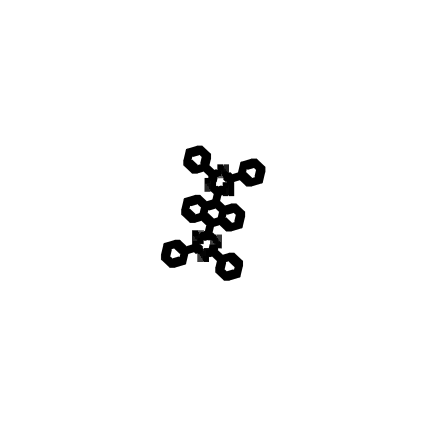 c1ccc(-c2nc(-c3ccccc3)nc(-c3c4ccccc4c(-c4nc(-c5ccccc5)nc(-c5ccccc5)n4)c4ccccc34)n2)cc1